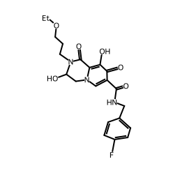 CCOCCCN1C(=O)c2c(O)c(=O)c(C(=O)NCc3ccc(F)cc3)cn2CC1O